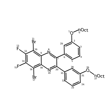 CCCCCCCCOc1cccc(-c2nc3c(Br)c(F)c(F)c(Br)c3nc2-c2cccc(OCCCCCCCC)c2)c1